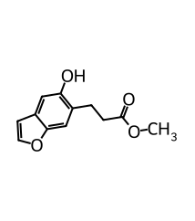 COC(=O)CCc1cc2occc2cc1O